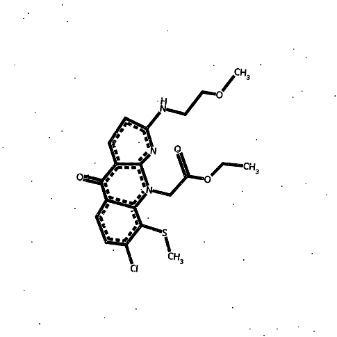 CCOC(=O)Cn1c2nc(NCCOC)ccc2c(=O)c2ccc(Cl)c(SC)c21